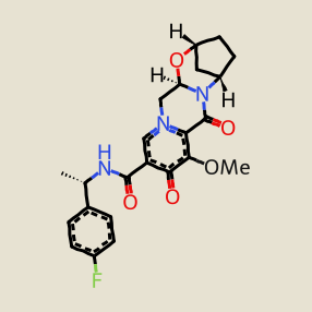 COc1c2n(cc(C(=O)N[C@@H](C)c3ccc(F)cc3)c1=O)C[C@H]1O[C@@H]3CC[C@@H](C3)N1C2=O